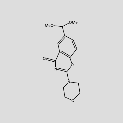 COC(OC)c1ccc2oc(N3CCOCC3)nc(=O)c2c1